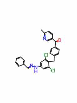 Cc1ccc(C(=O)c2ccc(Cc3c(Cl)cc(N/N=C/c4ccccc4)cc3Cl)cc2)cn1